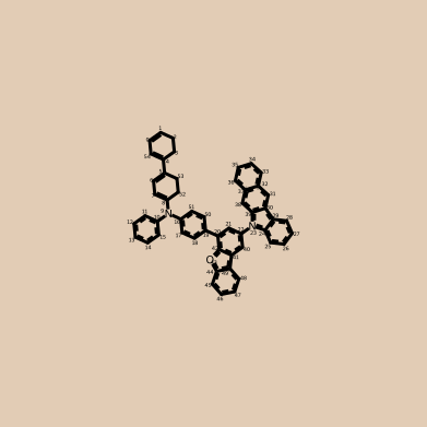 C1=CCCC(C2=CC=C(N(c3ccccc3)c3ccc(-c4cc(-n5c6ccccc6c6cc7ccccc7cc65)cc5c4oc4ccccc45)cc3)CC2)=C1